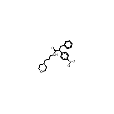 O=C(NCCCN1CCOCC1)C(Cc1ccccc1)c1ccc([N+](=O)[O-])cc1